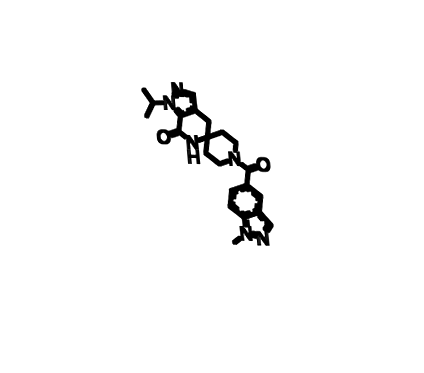 CC(C)n1ncc2c1C(=O)NC1(CCN(C(=O)c3ccc4c(cnn4C)c3)CC1)C2